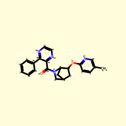 Cc1ccc(OC2CC3CC2N(C(=O)c2nccnc2-c2ccccc2)C3)nc1